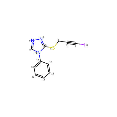 IC#CCSc1nncn1-c1ccccc1